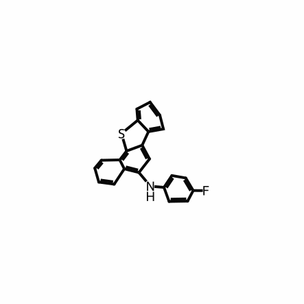 Fc1ccc(Nc2cc3c4ccccc4sc3c3ccccc23)cc1